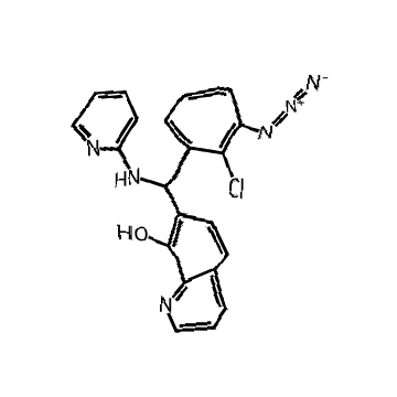 [N-]=[N+]=Nc1cccc(C(Nc2ccccn2)c2ccc3cccnc3c2O)c1Cl